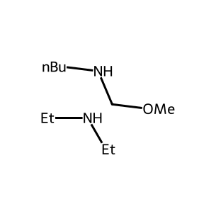 CCCCNCOC.CCNCC